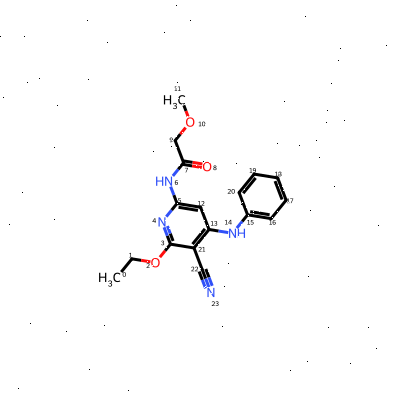 CCOc1nc(NC(=O)COC)cc(Nc2ccccc2)c1C#N